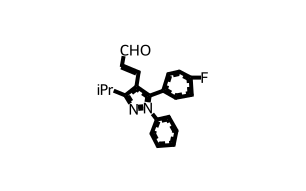 CC(C)c1nn(-c2ccccc2)c(-c2ccc(F)cc2)c1/C=C/C=O